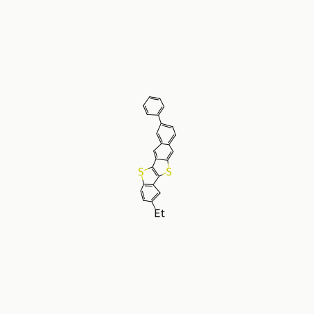 CCc1ccc2sc3c4cc5cc(-c6ccccc6)ccc5cc4sc3c2c1